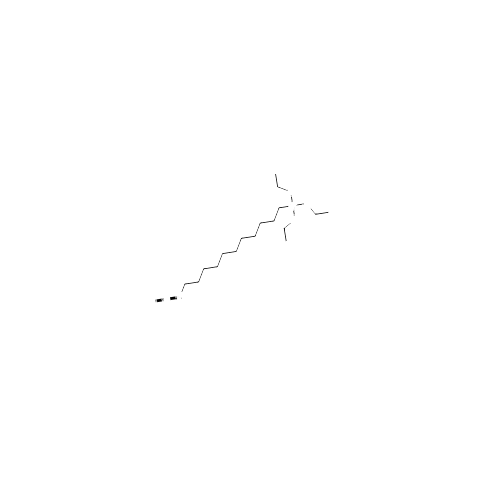 CCO[Si](CCCCCCCCCCCN=C=O)(OCC)OCC